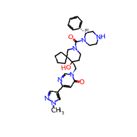 Cn1cc(-c2cc(=O)n(CC3(O)CCN(C(=O)N4CCNC[C@H]4c4ccccc4)CC34CCCC4)cn2)cn1